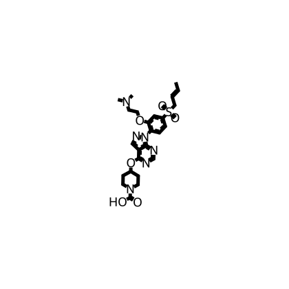 CC=CCS(=O)(=O)c1ccc(-n2ncc3c(OC4CCN(C(=O)O)CC4)ncnc32)c(OCCN(C)C)c1